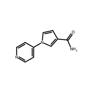 NC(=O)c1ccn(-c2ccncc2)c1